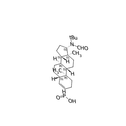 CC(C)(C)N(C=O)[C@H]1CC[C@H]2[C@@H]3CC[C@H]4C=C([PH](=O)O)CC[C@]4(C)[C@H]3CC[C@]12C